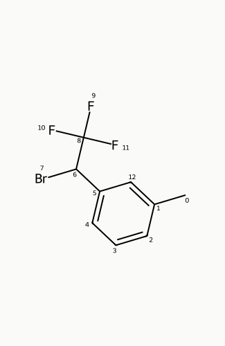 Cc1cccc(C(Br)C(F)(F)F)c1